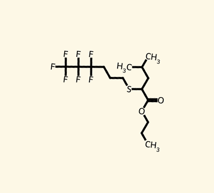 CCCOC(=O)C(CC(C)C)SCCCC(F)(F)C(F)(F)C(F)(F)F